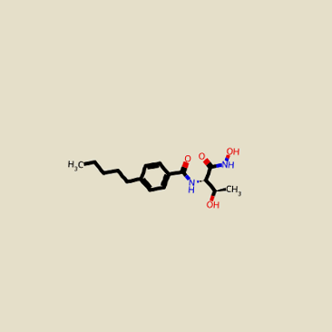 CCCCCc1ccc(C(=O)N[C@H](C(=O)NO)[C@@H](C)O)cc1